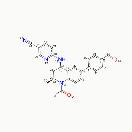 CC(=O)N1c2ccc(-c3ccc(C=O)cc3)cc2[C@H](Nc2ccc(C#N)cn2)C[C@@H]1C